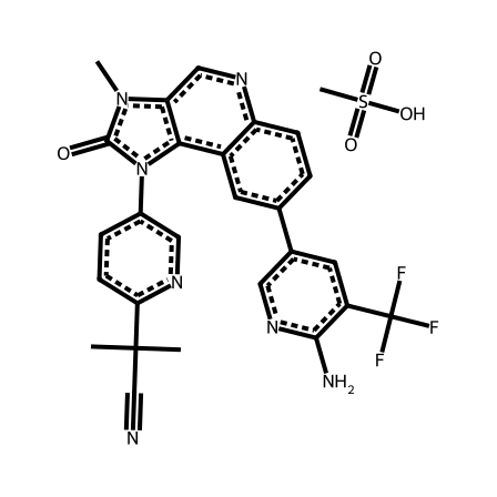 CS(=O)(=O)O.Cn1c(=O)n(-c2ccc(C(C)(C)C#N)nc2)c2c3cc(-c4cnc(N)c(C(F)(F)F)c4)ccc3ncc21